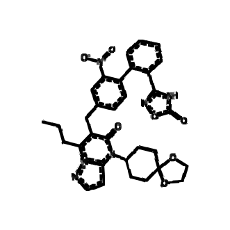 CCCc1c(Cc2ccc(-c3ccccc3-c3noc(=O)[nH]3)c([N+](=O)[O-])c2)c(=O)n(C2CCC3(CC2)OCCO3)c2ccnn12